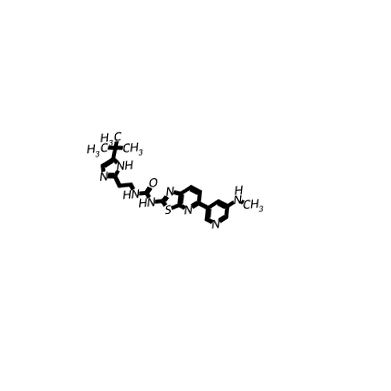 CNc1cncc(-c2ccc3nc(NC(=O)NCCc4ncc(C(C)(C)C)[nH]4)sc3n2)c1